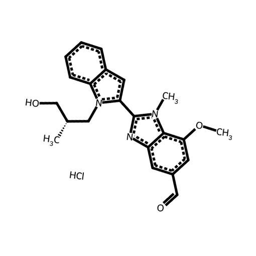 COc1cc(C=O)cc2nc(-c3cc4ccccc4n3C[C@H](C)CO)n(C)c12.Cl